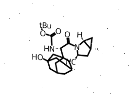 CC(C)(C)OC(=O)N[C@H](C(=O)N1[C@H](C#N)C[C@]2(C)C[C@H]12)C12CC3CC(CC(O)(C3)C1)C2